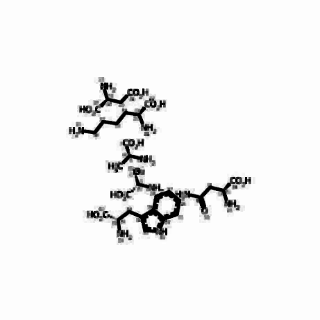 CC[C@H](C)[C@H](N)C(=O)O.C[C@H](N)C(=O)O.NC(=O)C[C@H](N)C(=O)O.NCCCC[C@H](N)C(=O)O.N[C@@H](CC(=O)O)C(=O)O.N[C@@H](Cc1c[nH]c2ccccc12)C(=O)O